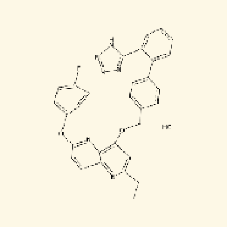 CCc1cc(OCc2ccc(-c3ccccc3-c3nnn[nH]3)cc2)c2nc(Oc3ccc(F)cc3)ccc2n1.Cl